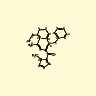 CC(=O)[O-].Cc1cc(C(=O)c2nccn2C)[n+](Cc2ccccc2)c2ccccc12